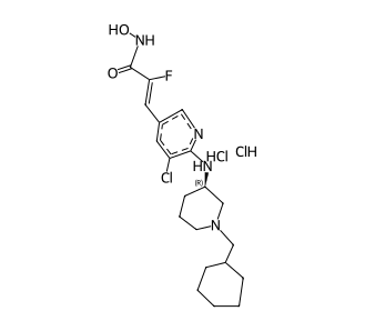 Cl.Cl.O=C(NO)C(F)=Cc1cnc(N[C@@H]2CCCN(CC3CCCCC3)C2)c(Cl)c1